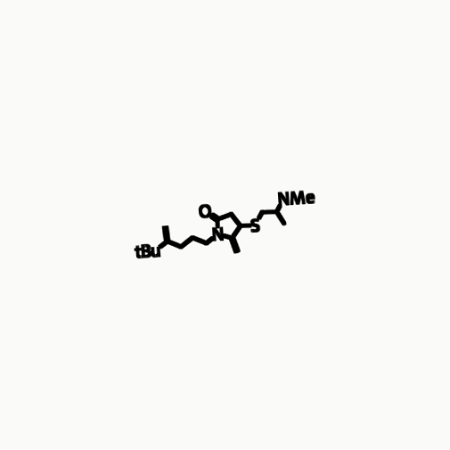 C=C1C(SCC(C)NC)CC(=O)N1CCCC(=C)C(C)(C)C